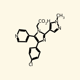 Cn1cc(-c2nc(-c3ccc(Cl)cc3)c(-c3ccncc3)n2CC(=O)O)cn1